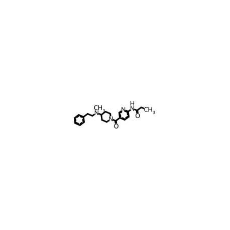 CCC(=O)Nc1ccc(C(=O)N2CCC(N(C)CCc3ccccc3)CC2)cn1